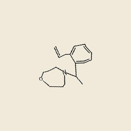 C=Cc1ccccc1C(C)N1CCOCC1